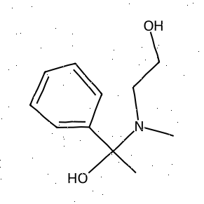 CN(CCO)C(C)(O)c1ccccc1